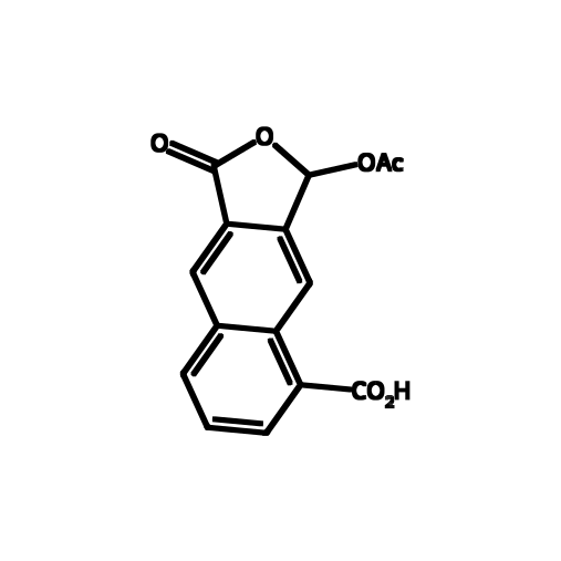 CC(=O)OC1OC(=O)c2cc3cccc(C(=O)O)c3cc21